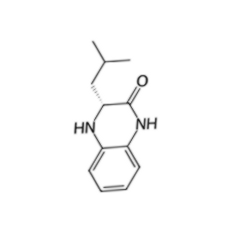 CC(C)C[C@H]1Nc2ccccc2NC1=O